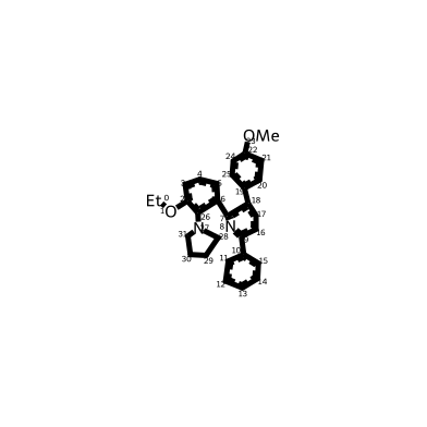 CCOc1cccc(-c2nc(-c3ccccc3)ccc2-c2ccc(OC)cc2)c1N1CCCC1